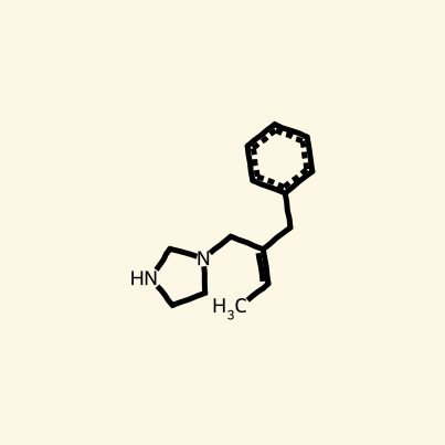 CC=C(Cc1ccccc1)CN1CCNC1